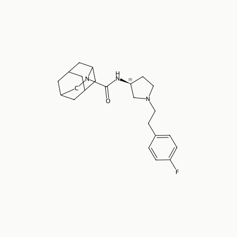 O=C(N[C@H]1CCN(CCc2ccc(F)cc2)C1)N1CC2CC3CC(C2)CC1C3